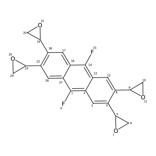 Fc1c2cc(C3CO3)c(C3CO3)cc2c(F)c2cc(C3CO3)c(C3CO3)cc12